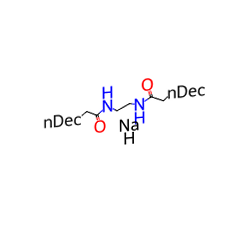 CCCCCCCCCCCC(=O)NCCNC(=O)CCCCCCCCCCC.[NaH]